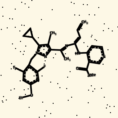 C=C/C=C(\N=C(/C)c1nn(Cc2c(F)cc(OCC)cc2F)c(C2CC2)c1C)Nc1ccncc1C(=O)NC